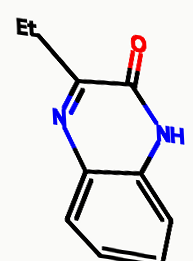 [CH2]Cc1nc2ccccc2[nH]c1=O